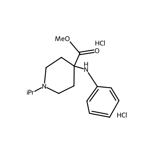 COC(=O)C1(Nc2ccccc2)CCN(C(C)C)CC1.Cl.Cl